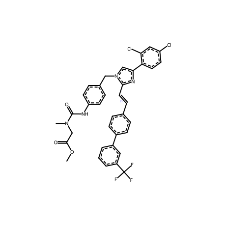 COC(=O)CN(C)C(=O)Nc1ccc(Cn2cc(-c3ccc(Cl)cc3Cl)nc2/C=C/c2ccc(-c3cccc(C(F)(F)F)c3)cc2)cc1